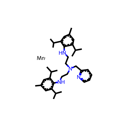 Cc1cc(C(C)C)c(NCCN(CCNc2c(C(C)C)cc(C)cc2C(C)C)Cc2ccccn2)c(C(C)C)c1.[Mn]